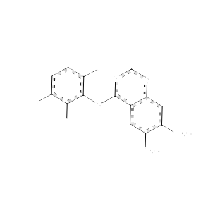 COc1cc2ncnc(Nc3c(Cl)ccc(O)c3F)c2cc1OC